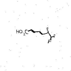 O=C(O)C=CC=CC(F)C(F)F